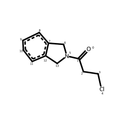 O=C(CCCl)N1Cc2ccccc2C1